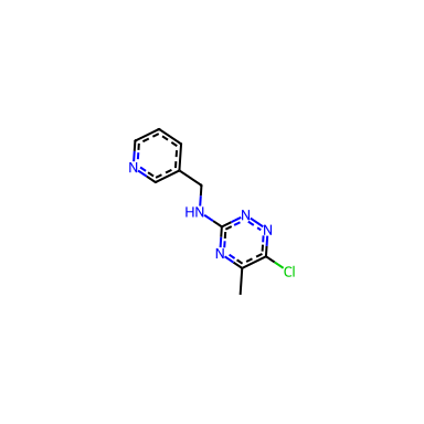 Cc1nc(NCc2cccnc2)nnc1Cl